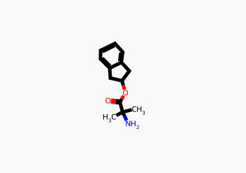 CC(C)(N)C(=O)OC1Cc2ccccc2C1